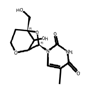 Cc1cn([C@@H]2O[C@@]3(CO)CCOC2C3O)c(=O)[nH]c1=O